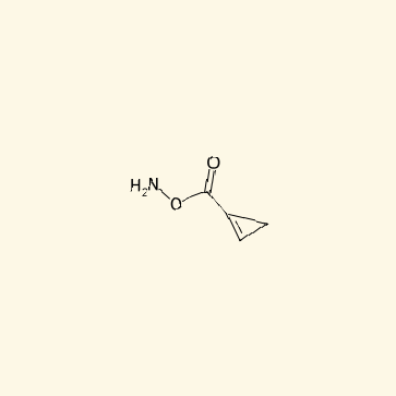 NOC(=O)C1=CC1